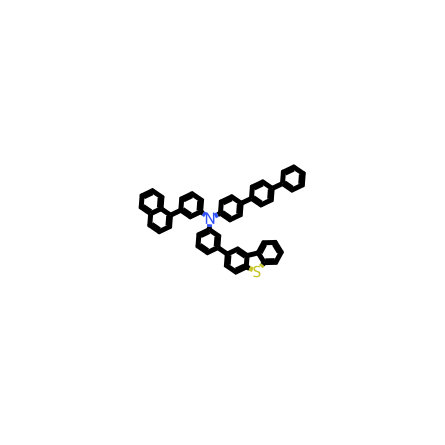 c1ccc(-c2ccc(-c3ccc(N(c4cccc(-c5ccc6sc7ccccc7c6c5)c4)c4cccc(-c5cccc6ccccc56)c4)cc3)cc2)cc1